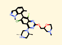 Cc1ccc2cnn(C)c2c1-c1c(Cl)cc2c(N3C[C@@H](C)NC[C@@H]3C)nc(OCC3CN(C)CCO3)nc2c1F